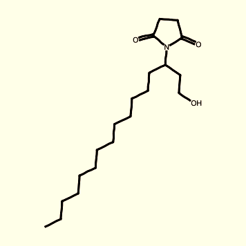 CCCCCCCCCCCCCC(CCO)N1C(=O)CCC1=O